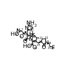 Nc1nc(N(C(=O)/C=N\O)[C@@H]2C(=O)N3C(C(=O)O)=C(/C=C4\CCN(CCF)C4=O)CS[C@H]23)cs1